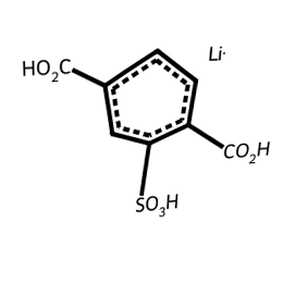 O=C(O)c1ccc(C(=O)O)c(S(=O)(=O)O)c1.[Li]